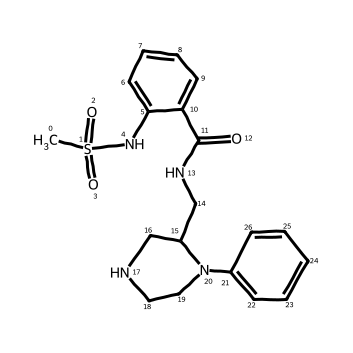 CS(=O)(=O)Nc1ccccc1C(=O)NCC1CNCCN1c1ccccc1